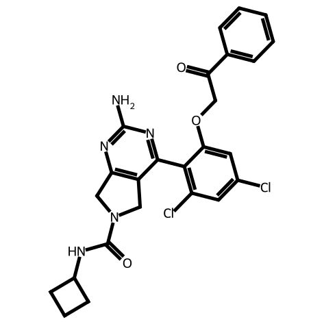 Nc1nc2c(c(-c3c(Cl)cc(Cl)cc3OCC(=O)c3ccccc3)n1)CN(C(=O)NC1CCC1)C2